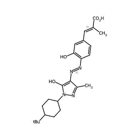 C/C(=C\c1ccc(/N=N/c2c(C)nn(C3CCC(C(C)(C)C)CC3)c2O)c(O)c1)C(=O)O